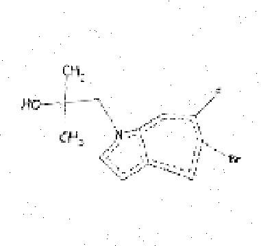 CC(C)(O)Cn1ccc2cc(Br)c(F)cc21